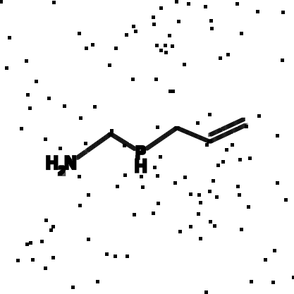 C=CCPCN